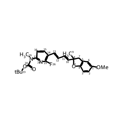 COc1ccc2c(c1)CC(C)(/C=C/C=C/c1ccc(N(C)C(=O)OC(C)(C)C)nc1F)O2